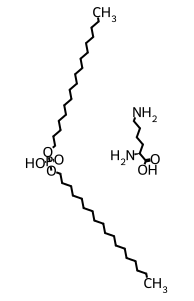 CCCCCCCCCCCCCCCCCCOP(=O)(O)OCCCCCCCCCCCCCCCCCC.NCCCC[C@H](N)C(=O)O